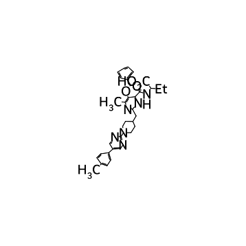 CCC(NC(=O)c1nc(CC2CCN(c3ncc(-c4ccc(C)cc4)cn3)CC2)nc(C)c1OCc1ccccc1)C(=O)O